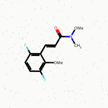 COc1c(F)ccc(F)c1C=CC(=O)N(C)OC